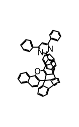 c1ccc(-c2cc(-c3ccccc3)nc(-c3ccc(-c4cccc5c4C4(c6ccccc6-5)c5ccc6ccccc6c5Oc5c4ccc4ccccc54)cc3)n2)cc1